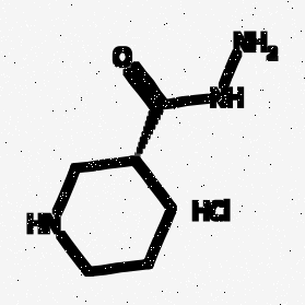 Cl.NNC(=O)[C@@H]1CCCNC1